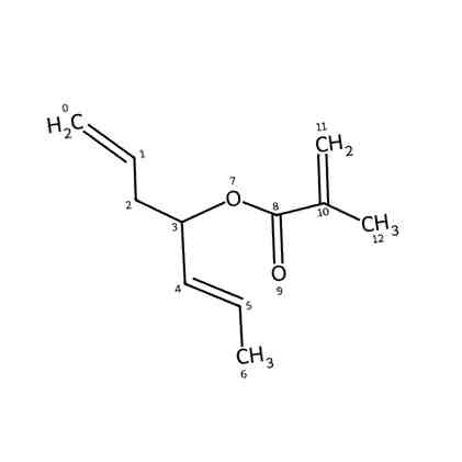 C=CCC(C=CC)OC(=O)C(=C)C